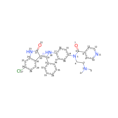 CN(C)CCN(C(=O)c1ccncc1)c1ccc(N/C(=C2\C(=O)Nc3cc(Cl)ccc32)c2ccccc2)cc1